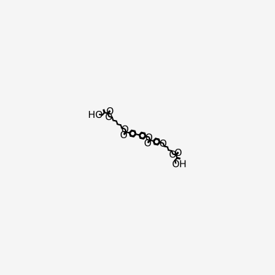 C=C(CO)C(=O)OCCCCCCOC(=O)c1ccc(-c2ccc(OC(=O)c3ccc(OCCCCOC(=O)C(=C)CO)cc3)cc2)cc1